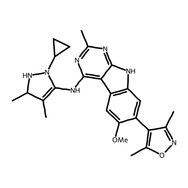 COc1cc2c(cc1-c1c(C)noc1C)[nH]c1nc(C)nc(NC3=C(C)C(C)NN3C3CC3)c12